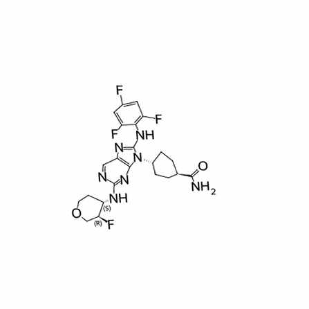 NC(=O)[C@H]1CC[C@H](n2c(Nc3c(F)cc(F)cc3F)nc3cnc(N[C@H]4CCOC[C@@H]4F)nc32)CC1